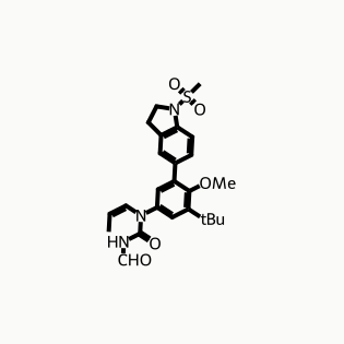 C/C=C\N(C(=O)NC=O)c1cc(-c2ccc3c(c2)CCN3S(C)(=O)=O)c(OC)c(C(C)(C)C)c1